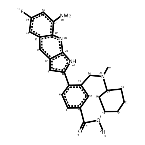 [2H]OC(=O)c1ccc(-c2cc3cc4cc(F)cc(NC)c4nc3[nH]2)c(CN(C)C2CCCCC2)c1